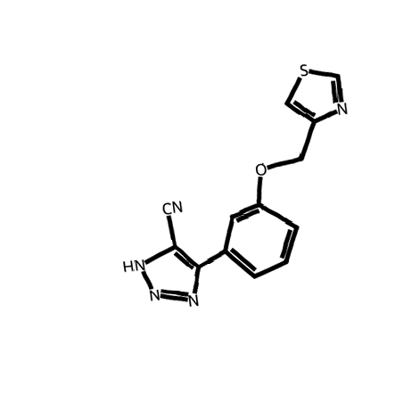 N#Cc1[nH]nnc1-c1cccc(OCc2cscn2)c1